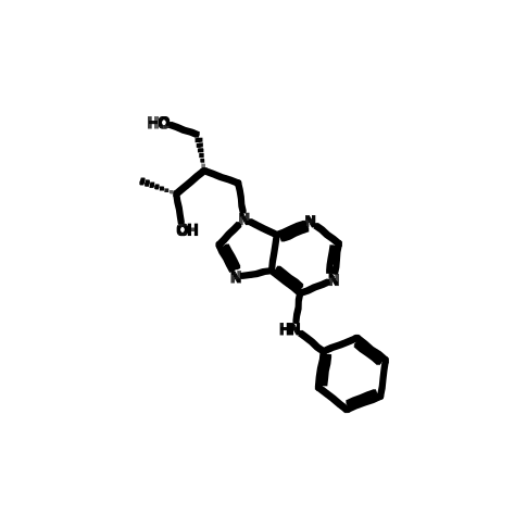 C[C@@H](O)[C@H](CO)Cn1cnc2c(Nc3ccccc3)ncnc21